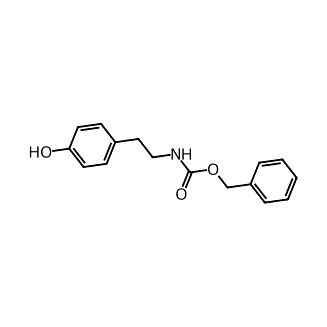 O=C(NCCc1ccc(O)cc1)OCc1ccccc1